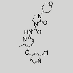 Cc1nc(NC(=O)N2CCN(C3CCOCC3)C2=O)ccc1Oc1ccnc(Cl)c1